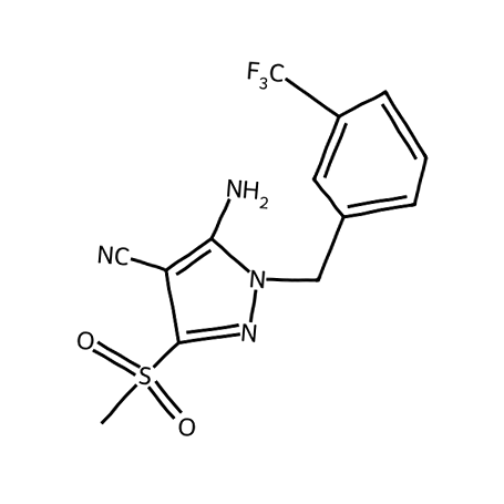 CS(=O)(=O)c1nn(Cc2cccc(C(F)(F)F)c2)c(N)c1C#N